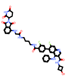 O=C(CNc1cccc2c1C(=O)N(C1CCC(=O)NC1=O)C2=O)NCCCCNC(=O)c1ccc(-c2cc3c(Nc4ccccc4)c(C(=O)NC4CC(O)C4)cnc3cc2F)cc1F